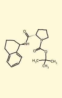 CC(C)(C)OC(=O)N1CCC[C@H]1C(=O)N[C@@H]1CCCc2ccccc21